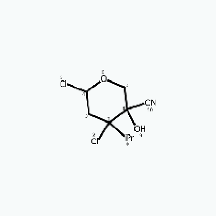 CC(C)C1(Cl)CC(Cl)OCC1(O)C#N